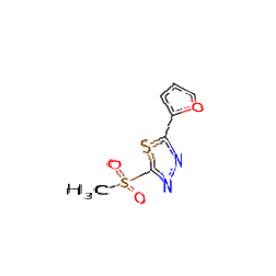 CS(=O)(=O)c1nnc(-c2ccco2)s1